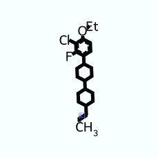 C/C=C/C1CCC(C2CCC(c3ccc(OCC)c(Cl)c3F)CC2)CC1